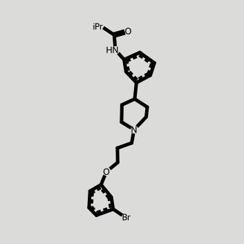 CC(C)C(=O)Nc1cccc(C2CCN(CCCOc3cccc(Br)c3)CC2)c1